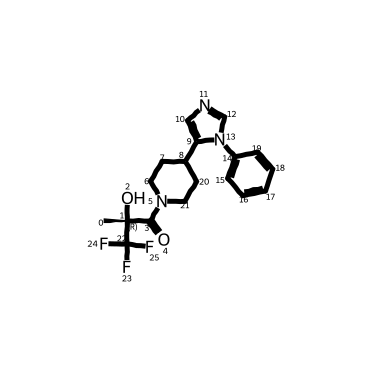 C[C@@](O)(C(=O)N1CCC(c2cncn2-c2ccccc2)CC1)C(F)(F)F